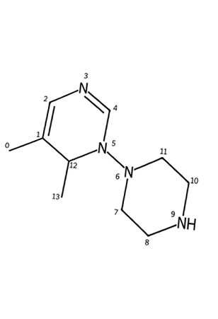 CC1=CN=CN(N2CCNCC2)C1C